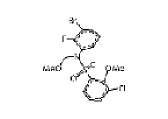 COCN(c1cccc(Br)c1F)S(=O)(=O)c1cccc(Cl)c1OC